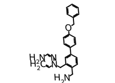 C=CN(Cc1cc(-c2ccc(OCc3ccccc3)cc2)ccc1CN)/N=C\N